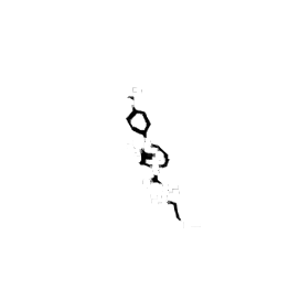 CCOc1ccc(N2CC3CN(C(=O)NNCCO)C[C@@H]2C(C)(C)C3)cc1